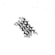 CCOCCOCCO.CCOCCOCCO.CCOCCOCCO.CCOCCOCCOCC